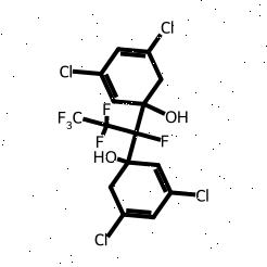 OC1(C(F)(C2(O)C=C(Cl)C=C(Cl)C2)C(F)(F)C(F)(F)F)C=C(Cl)C=C(Cl)C1